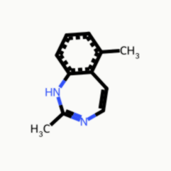 CC1=NC=Cc2c(C)cccc2N1